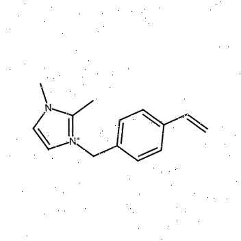 C=Cc1ccc(C[n+]2ccn(C)c2C)cc1